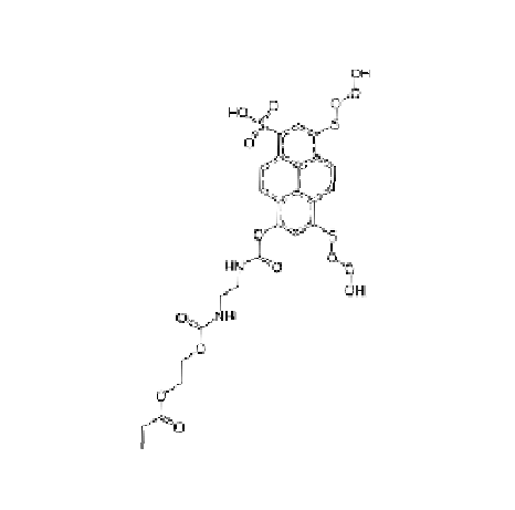 C=CC(=O)OCCOC(=O)NCCNC(=O)Oc1cc(SOOO)c2ccc3c(SOOO)cc(S(=O)(=O)O)c4ccc1c2c34